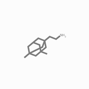 CC12CC3CC(C)(C1)CC(CCN)(C3)C2